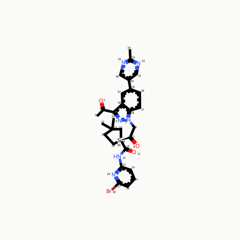 CC(=O)c1nn(CC(=O)[Si@@]2(C(=O)Nc3cccc(Br)n3)CCC(C)(C)C2)c2ccc(-c3cnc(C)nc3)cc12